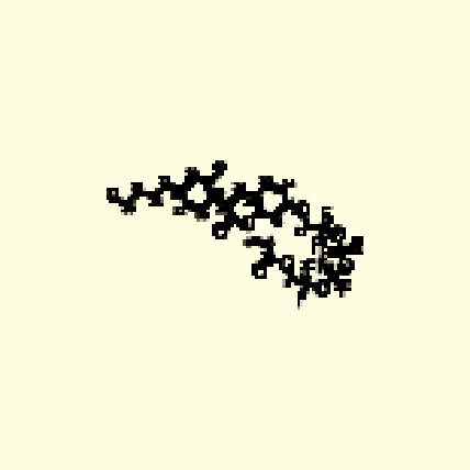 C=CC(=O)OCC(F)(F)OC(F)(F)OC(F)(F)OC(F)(F)COc1ccc2cc(-c3ccc(CCCCC)cc3C)c(=O)oc2c1